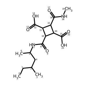 CCC(C)CC(C)NC(=O)C1C(C(=O)O)C(C(=O)NC)C1C(=O)O